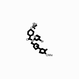 COc1ccc(C23CCC(CN(C(=O)C4CCC(O[Si](C)(C)C(C)(C)C)CC4)c4cc(Br)ccn4)(CC2)CC3)cc1C